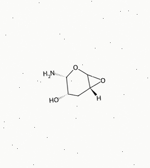 N[C@@H]1OC2O[C@@H]2C[C@@H]1O